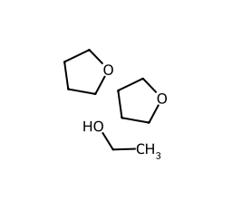 C1CCOC1.C1CCOC1.CCO